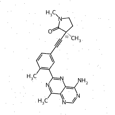 Cc1ccc(C#C[C@]2(C)CCN(C)C2=O)cc1-c1nc(C)c2ncnc(N)c2n1